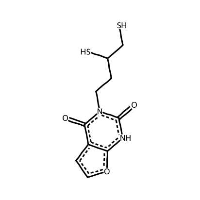 O=c1[nH]c2occc2c(=O)n1CCC(S)CS